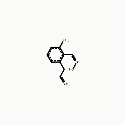 C=CCc1cc[c]c(C)c1/C=N\O